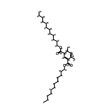 CCCCCCCCCCCCOC(=O)C1=CC(C(=O)OCCCCCCCCCCCC)C(C)N=C1C